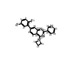 Fc1ccc(F)c(-c2ccc3c(N4CCC4)nc(-c4cccnc4)nc3c2)c1